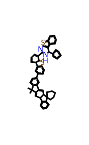 CC1(C)C2=CC3c4ccccc4C4(CCCCC4)C3C=C2c2cc(-c3ccc4c(c3)C3C=CC=C(C5=Nc6sc7ccccc7c6C(c6ccccc6)N5)C3S4)ccc21